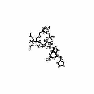 CCOP(=O)(OCC)[C@@](CO)(COCc1nn[nH]n1)OC[C@H]1O[C@@H](n2ncc3c(NC4CCCC4)nc(Cl)nc32)[C@@H]2OC(C)(C)O[C@@H]21